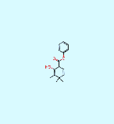 CC1=C(O)C(C(=O)Oc2ccccc2)C=CC1(C)C